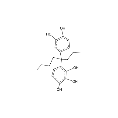 CCCCC(CCC)(c1ccc(O)c(O)c1)c1ccc(O)c(O)c1O